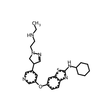 CCNCCN1CC(c2cncc(Oc3ccc4nc(NC5CCCCC5)sc4c3)c2)C=N1